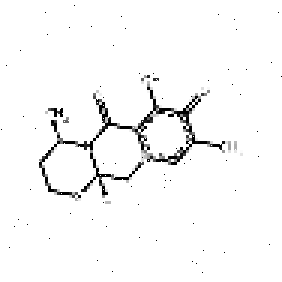 Cc1cn2c(c(O)c1=O)C(=O)N1[C@H](C)CCS[C@H]1C2